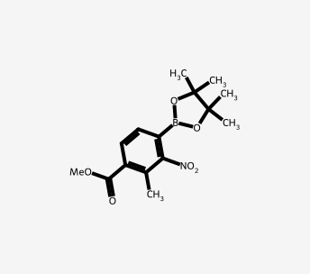 COC(=O)c1ccc(B2OC(C)(C)C(C)(C)O2)c([N+](=O)[O-])c1C